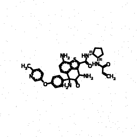 C=CC(=O)N[C@H]1CCC[C@H]1NC(=O)c1sc2c(N)ccc3c2c1C(N)C(=O)C3(N)c1ccc(Oc2ccc(C)nc2)cc1